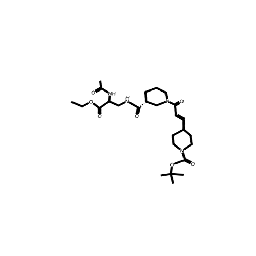 CCOC(=O)C(CNC(=O)[C@@H]1CCCN(C(=O)/C=C/C2CCN(C(=O)OC(C)(C)C)CC2)C1)NC(C)=O